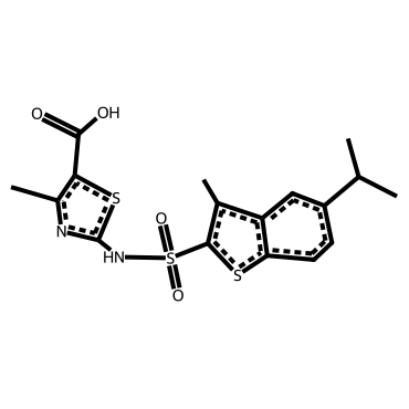 Cc1nc(NS(=O)(=O)c2sc3ccc(C(C)C)cc3c2C)sc1C(=O)O